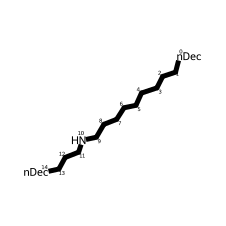 CCCCCCCCCCCCCCCCCCCNCCCCCCCCCCCCC